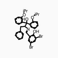 CC(C)Oc1ccccc1C(O)(c1ccccc1OC(C)C)C(Cc1ccccc1)N=Cc1cc(Br)cc(Br)c1O